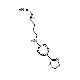 CCCCCCCCC/C=C/CCCNc1ccc(C2=NCCO2)cc1